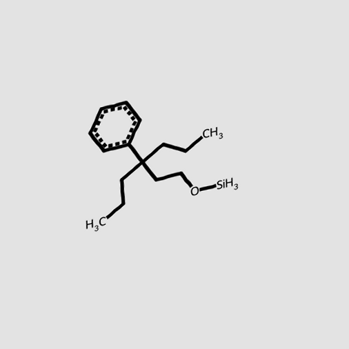 CCCC(CCC)(CCO[SiH3])c1ccccc1